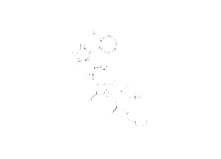 Cc1onc(-c2ccccc2Cl)c1C(=O)NC1C(=O)N2C1SC(C)(CBr)C2C(=O)OCC(Cl)(Cl)Cl